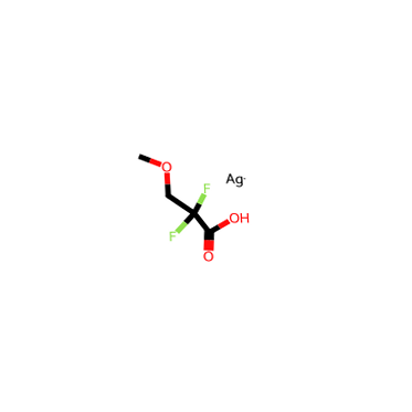 COCC(F)(F)C(=O)O.[Ag]